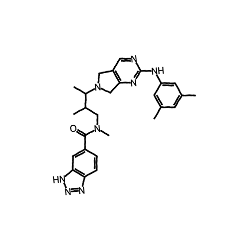 Cc1cc(C)cc(Nc2ncc3c(n2)CN(C(C)C(C)CN(C)C(=O)c2ccc4nn[nH]c4c2)C3)c1